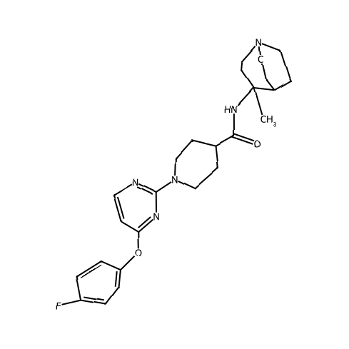 CC1(NC(=O)C2CCN(c3nccc(Oc4ccc(F)cc4)n3)CC2)CCN2CCC1CC2